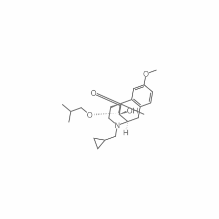 COc1ccc2c(c1)[C@]13CCN(CC4CC4)[C@H](C2)[C@]1(O)C[C@H](OCC(C)C)C(=O)C3